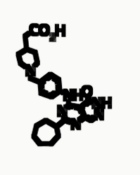 O=C(O)CC1CCN(Cc2ccc(Nc3nc(C4CCCCCC4)nc4cn[nH]c(=O)c34)cc2)CC1